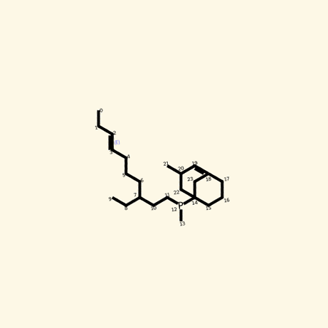 CC/C=C/CCCC(CC)CCP(C)C12CCCC(=CC(C)C1)C2